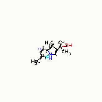 C=C(F)/C=C\c1[nH]cc(C(C)(C)O)c1C